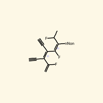 C#C/C(C(=C)F)=C(C#C)/C(F)=C(/CCCCCCCCC)C(C)F